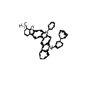 CC1CC=Cc2c1oc1cc3c(cc21)c1cc2c4ccccc4n(-c4cccc(-c5ccccc5)c4)c2cc1n3-c1ccccc1